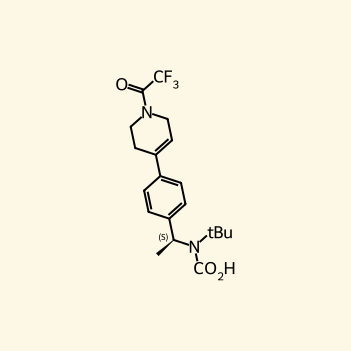 C[C@@H](c1ccc(C2=CCN(C(=O)C(F)(F)F)CC2)cc1)N(C(=O)O)C(C)(C)C